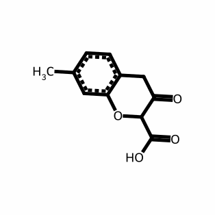 Cc1ccc2c(c1)OC(C(=O)O)C(=O)C2